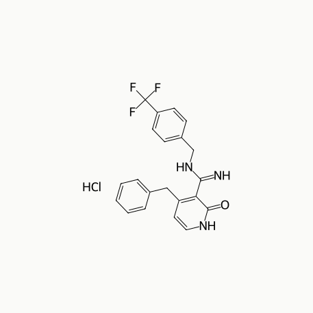 Cl.N=C(NCc1ccc(C(F)(F)F)cc1)c1c(Cc2ccccc2)cc[nH]c1=O